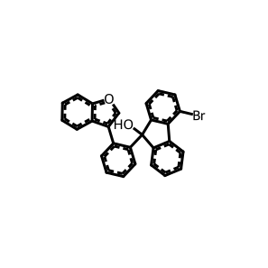 OC1(c2ccccc2-c2coc3ccccc23)c2ccccc2-c2c(Br)cccc21